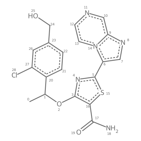 CC(Oc1nc(-c2cnc3cnccn23)sc1C(N)=O)c1ccc(CO)cc1Cl